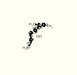 CCOc1ccn(-c2ccc(OC)cc2)c(=O)c1C(=O)Nc1ccc(Oc2ccnc3cc(-c4ccc(CNCCOC)cn4)sc23)c(F)c1.Cl